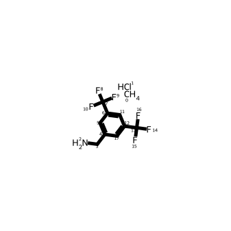 C.Cl.NCc1cc(C(F)(F)F)cc(C(F)(F)F)c1